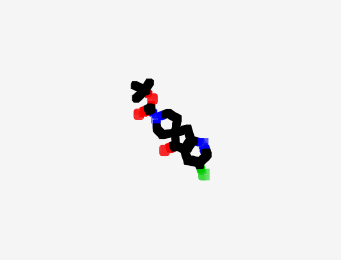 CC(C)(C)OC(=O)N1CCC2(CC1)Cc1ncc(Cl)cc1C2=O